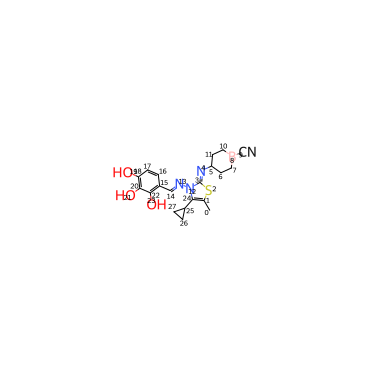 Cc1s/c(=N\C2CCB(C#N)CC2)n(/N=C/c2ccc(O)c(O)c2O)c1C1CC1